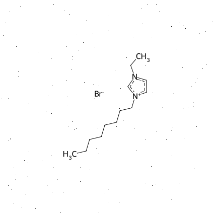 CCCCCCCC[n+]1ccn(CC)c1.[Br-]